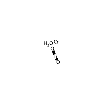 O.[Cr].[O]=[Ti]=[O]